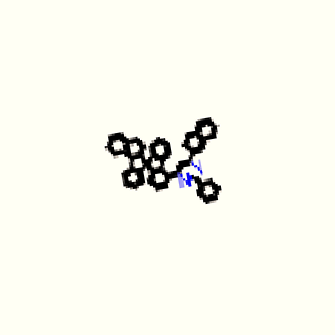 c1ccc(-c2nc(-c3ccc4ccccc4c3)cc(-c3cccc4c3-c3ccccc3C43c4ccccc4-c4c3ccc3ccccc43)n2)cc1